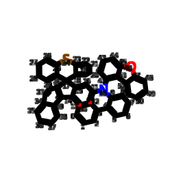 c1ccc(-c2ccccc2N(c2ccc3c(c2)C2(c4ccccc4Sc4ccccc42)c2ccc4ccccc4c2-3)c2cccc3oc4ccccc4c23)cc1